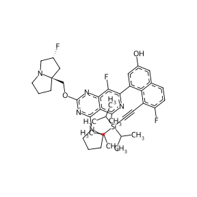 Cc1nc(-c2cc(O)cc3ccc(F)c(C#C[Si](C(C)C)(C(C)C)C(C)C)c23)c(F)c2nc(OC[C@@]34CCCN3C[C@H](F)C4)nc(N3CCCC3)c12